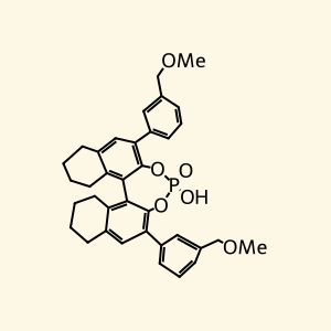 COCc1cccc(-c2cc3c(c4c2OP(=O)(O)Oc2c(-c5cccc(COC)c5)cc5c(c2-4)CCCC5)CCCC3)c1